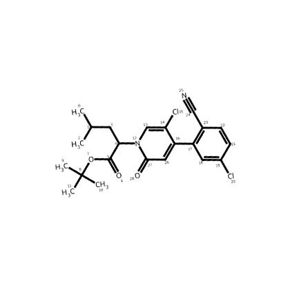 CC(C)CC(C(=O)OC(C)(C)C)n1cc(Cl)c(-c2cc(Cl)ccc2C#N)cc1=O